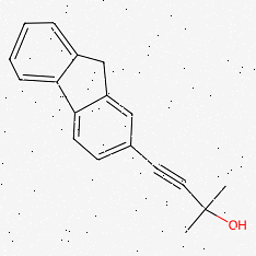 CC(C)(O)C#Cc1ccc2c(c1)Cc1ccccc1-2